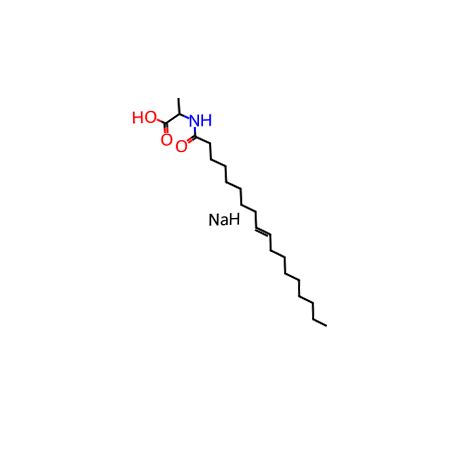 CCCCCCCCC=CCCCCCCCC(=O)NC(C)C(=O)O.[NaH]